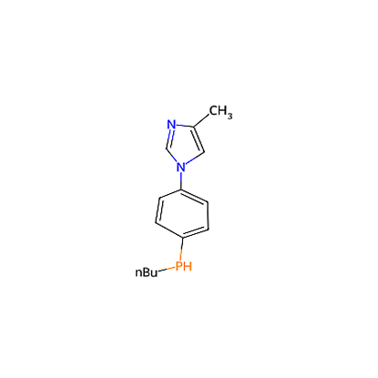 CCCCPc1ccc(-n2cnc(C)c2)cc1